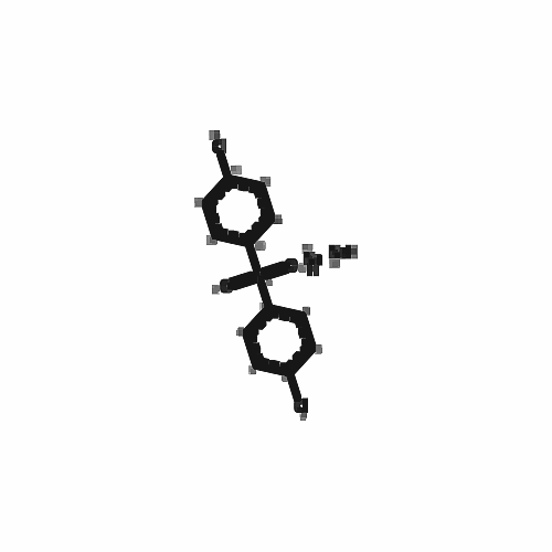 O=S(=O)(c1ccc(Cl)cc1)c1ccc(Cl)cc1.[NaH].[NaH]